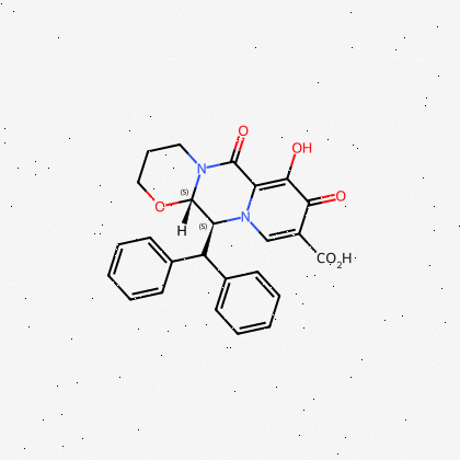 O=C(O)c1cn2c(c(O)c1=O)C(=O)N1CCCO[C@H]1[C@@H]2C(c1ccccc1)c1ccccc1